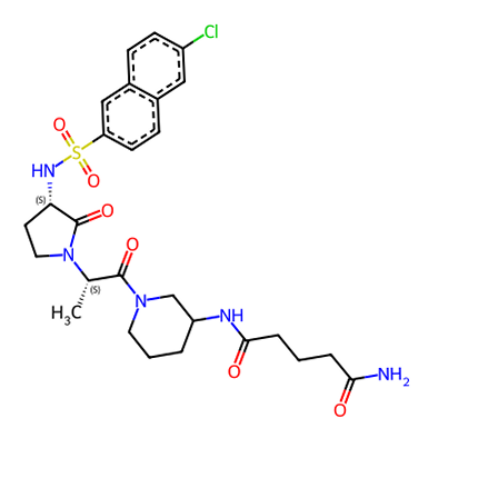 C[C@@H](C(=O)N1CCCC(NC(=O)CCCC(N)=O)C1)N1CC[C@H](NS(=O)(=O)c2ccc3cc(Cl)ccc3c2)C1=O